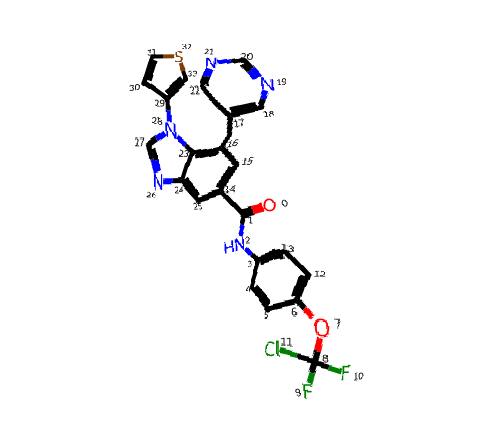 O=C(Nc1ccc(OC(F)(F)Cl)cc1)c1cc(-c2cncnc2)c2c(c1)ncn2-c1ccsc1